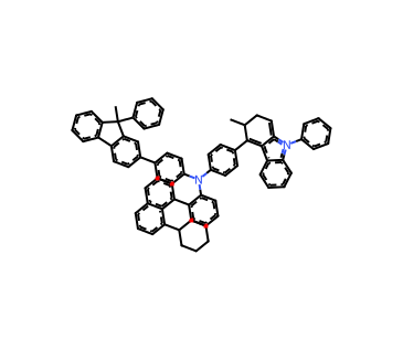 CC1CC=c2c(c3ccccc3n2-c2ccccc2)=C1c1ccc(N(c2ccc(-c3ccc4c(c3)C(C)(c3ccccc3)c3ccccc3-4)cc2)c2ccccc2-c2cccc3cccc(C4CCCCC4)c23)cc1